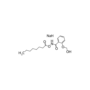 CCCCCCCC(=O)ONC(=O)c1ccccc1OCO.[NaH]